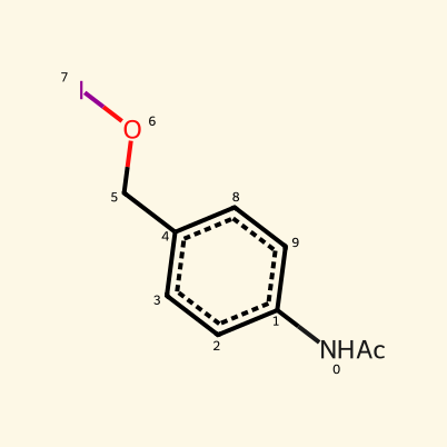 CC(=O)Nc1ccc(COI)cc1